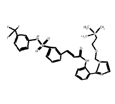 CS(C)(C)CCOCn1ccnc1-c1ccccc1NC(=O)/C=C/c1cccc(S(=O)(=O)Nc2cccc(C(F)(F)F)c2)c1